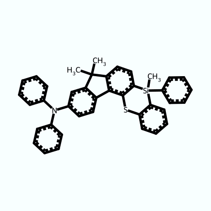 CC1(C)c2cc(N(c3ccccc3)c3ccccc3)ccc2-c2c1ccc1c2Sc2ccccc2[Si]1(C)c1ccccc1